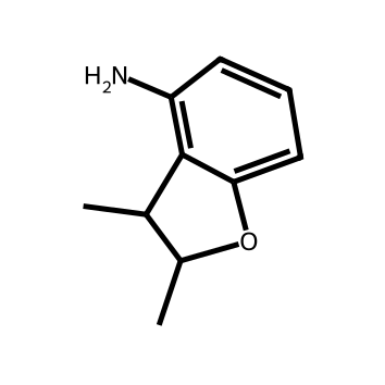 CC1Oc2cccc(N)c2C1C